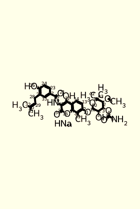 CO[C@@H]1[C@@H](OC(N)=O)[C@@H](O)[C@H](Oc2ccc3c(O)c(NC(=O)c4ccc(O)c(CC=C(C)C)c4)c(=O)oc3c2C)OC1(C)C.[NaH]